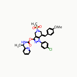 COc1ccc(/C=C2\CN(S(C)(=O)=O)Cc3c(OC(=O)NC(C)c4ccccn4)nn(-c4ccc(Cl)cc4)c32)cc1